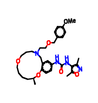 COc1ccc(COCCN2CCCOCCCC[C@H](C)Oc3ccc(NC(=O)Nc4c(C)noc4C)cc3C2)cc1